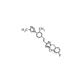 Cc1cn(-c2ccc(/C=C/c3nc(Cc4ccc(F)cc4)n(C)n3)cc2C)cn1